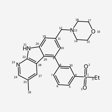 CCS(=O)(=O)c1cccc(-c2cc(CN3CCOCC3)cc3[nH]c4ncc(C)cc4c23)c1